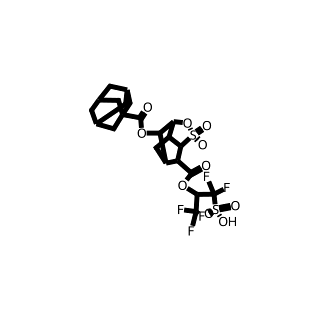 O=C(OC(C(F)(F)F)C(F)(F)S(=O)(=O)O)C1C2CC3C(OS(=O)(=O)C31)C2OC(=O)C12CC3CC(CC(C3)C1)C2